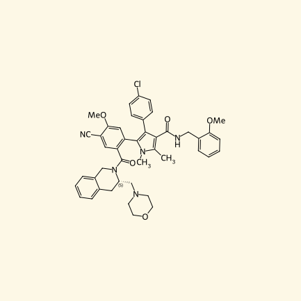 COc1cc(-c2c(-c3ccc(Cl)cc3)c(C(=O)NCc3ccccc3OC)c(C)n2C)c(C(=O)N2Cc3ccccc3C[C@H]2CN2CCOCC2)cc1C#N